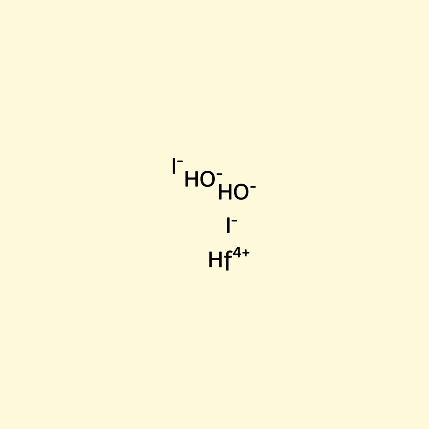 [Hf+4].[I-].[I-].[OH-].[OH-]